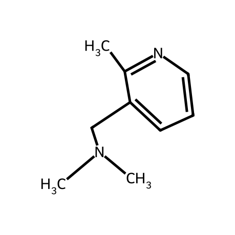 Cc1ncccc1CN(C)C